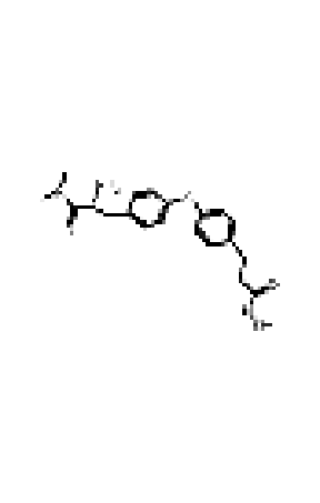 CN(C)C(=O)[C@@H](N)Cc1ccc(Oc2ccc(CCC(=O)NO)cc2)cc1